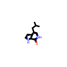 CC(C)Cc1c[nH]c(=O)c2[nH]ccc12